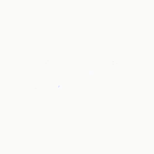 CC/C(C)=C/C=C/[C](C)C